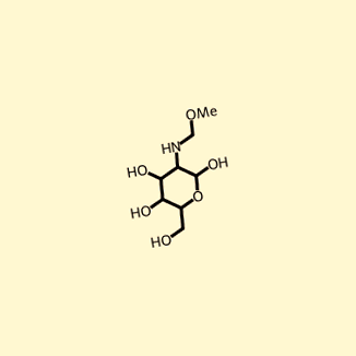 COCNC1C(O)OC(CO)C(O)C1O